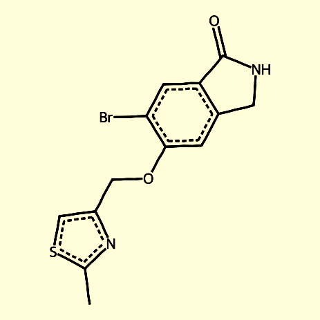 Cc1nc(COc2cc3c(cc2Br)C(=O)NC3)cs1